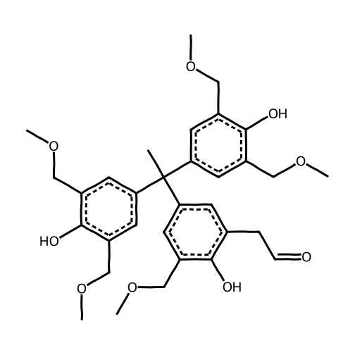 COCc1cc(C(C)(c2cc(COC)c(O)c(COC)c2)c2cc(COC)c(O)c(COC)c2)cc(CC=O)c1O